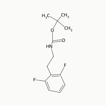 CC(C)(C)OC(=O)NCCc1c(F)cccc1F